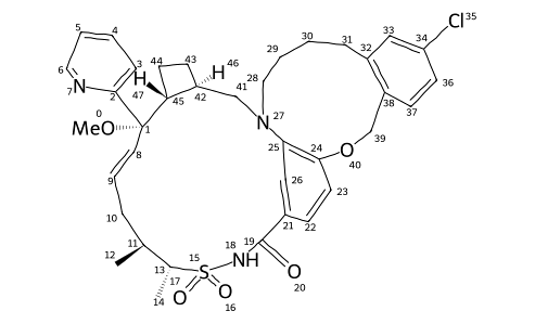 CO[C@@]1(c2ccccn2)/C=C/C[C@H](C)[C@@H](C)S(=O)(=O)NC(=O)c2ccc3c(c2)N(CCCCc2cc(Cl)ccc2CO3)C[C@@H]2CC[C@H]21